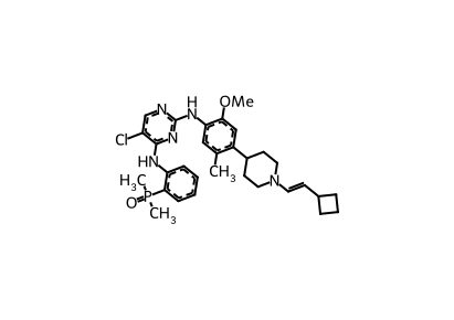 COc1cc(C2CCN(/C=C/C3CCC3)CC2)c(C)cc1Nc1ncc(Cl)c(Nc2ccccc2P(C)(C)=O)n1